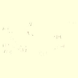 COc1cc2ncc(-c3cc(C)c(OC)c(NCCCO)c3)n2cc1S(=O)(=O)C(C)(C)C